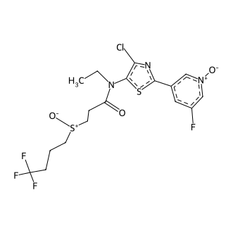 CCN(C(=O)CC[S+]([O-])CCCC(F)(F)F)c1sc(-c2cc(F)c[n+]([O-])c2)nc1Cl